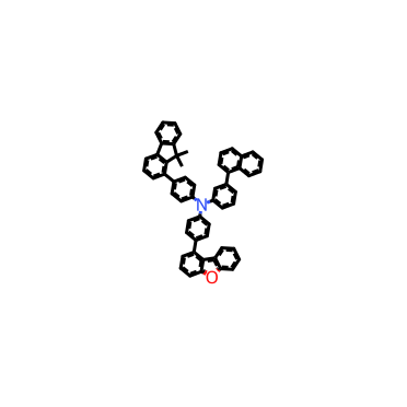 CC1(C)c2ccccc2-c2cccc(-c3ccc(N(c4ccc(-c5cccc6oc7ccccc7c56)cc4)c4cccc(-c5cccc6ccccc56)c4)cc3)c21